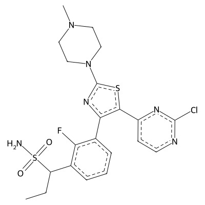 CCC(c1cccc(-c2nc(N3CCN(C)CC3)sc2-c2ccnc(Cl)n2)c1F)S(N)(=O)=O